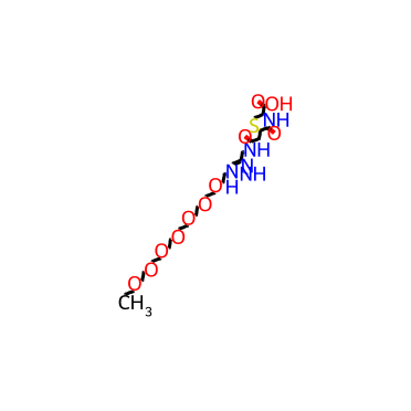 CCCOCCOCCOCCOCCOCCOCCOCCN/C=C(/CNC(=O)CC1SCC(C(=O)O)NC1=O)N=N